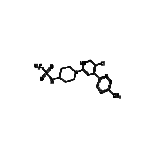 Cc1ccc(C2=C(Cl)CNC(N3CCC(NS(C)(=O)=O)CC3)=C2)nc1